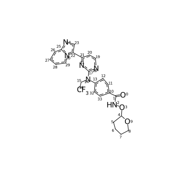 O=C(NOC1CCCCO1)c1ccc(N(CC(F)(F)F)c2nccc(-c3cnc4ccccn34)n2)cc1